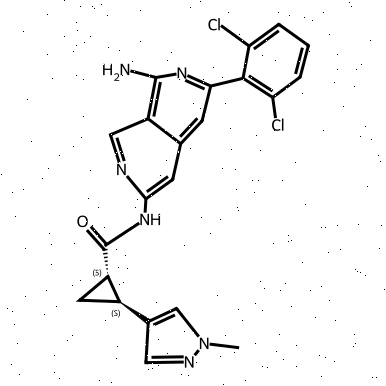 Cn1cc([C@H]2C[C@@H]2C(=O)Nc2cc3cc(-c4c(Cl)cccc4Cl)nc(N)c3cn2)cn1